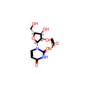 C=CBr.O.O=c1ccn([C@@H]2O[C@H](CO)[C@@H](O)[C@H]2O)c(=O)[nH]1